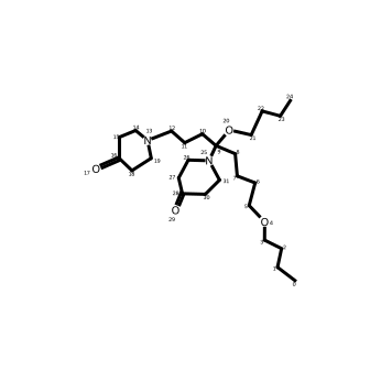 CCCCOCCCCC(CCCN1CCC(=O)CC1)(OCCCC)N1CCC(=O)CC1